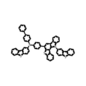 c1ccc(-c2ccc(N(c3ccc(-c4cc5c6ccccc6n(-c6ccc7sc8ccccc8c7c6)c5c5c4sc4ccccc45)cc3)c3ccc4sc5ccccc5c4c3)cc2)cc1